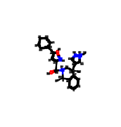 C[C@H]1c2ccccc2[C@](C)(c2cnn(C)c2)CN1C(=O)c1cc(-c2ccccc2)on1